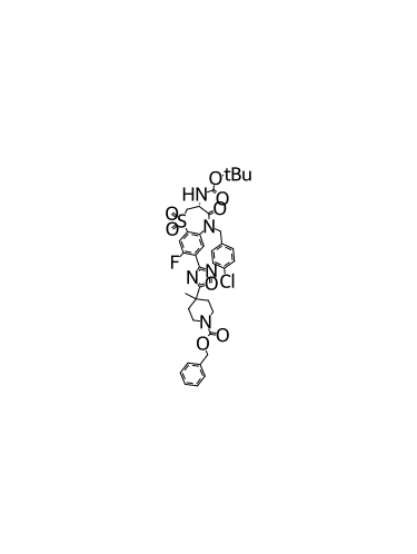 CC(C)(C)OC(=O)N[C@H]1CS(=O)(=O)c2cc(F)c(-c3noc(C4(C)CCN(C(=O)OCc5ccccc5)CC4)n3)cc2N(Cc2ccc(Cl)cc2)C1=O